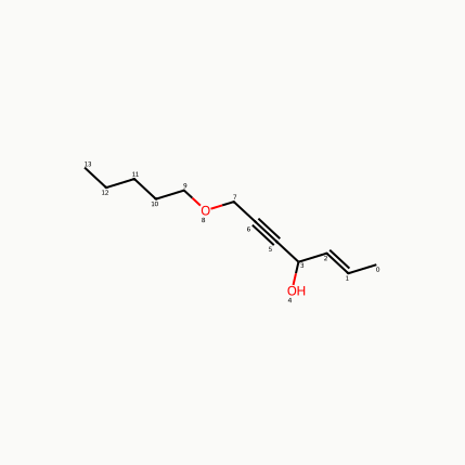 CC=CC(O)C#CCOCCCCC